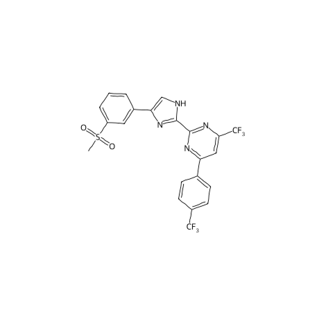 CS(=O)(=O)c1cccc(-c2c[nH]c(-c3nc(-c4ccc(C(F)(F)F)cc4)cc(C(F)(F)F)n3)n2)c1